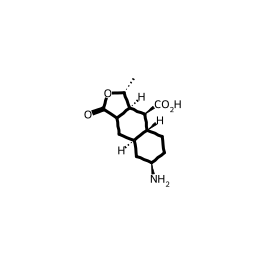 C[C@H]1OC(=O)C2C[C@@H]3C[C@H](N)CC[C@H]3[C@H](C(=O)O)[C@@H]21